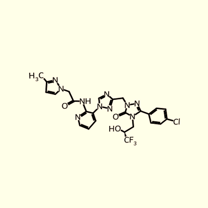 Cc1ccn(CC(=O)Nc2ncccc2-n2cnc(Cn3nc(-c4ccc(Cl)cc4)n(C[C@H](O)C(F)(F)F)c3=O)n2)n1